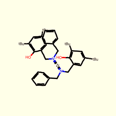 CC(C)(C)c1cc(C[N+](Cc2ccccc2)=[Zr]=[N+](Cc2ccccc2)Cc2cc(C(C)(C)C)cc(C(C)(C)C)c2O)c(O)c(C(C)(C)C)c1